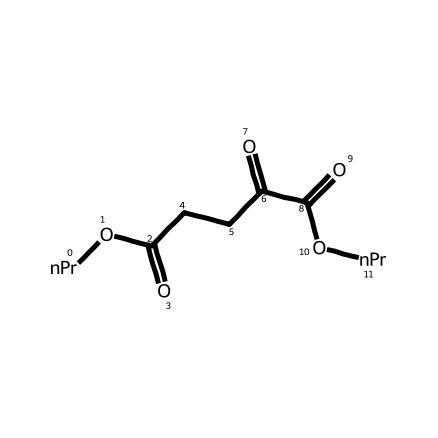 CCCOC(=O)CCC(=O)C(=O)OCCC